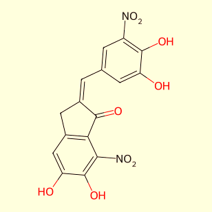 O=C1/C(=C\c2cc(O)c(O)c([N+](=O)[O-])c2)Cc2cc(O)c(O)c([N+](=O)[O-])c21